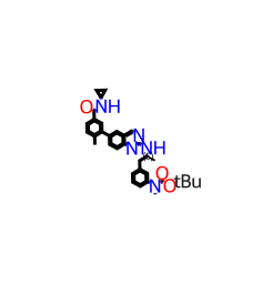 Cc1ccc(C(=O)NC2CC2)cc1-c1ccc2nc(N[C@@H](C)Cc3cccc(N(C)C(=O)OC(C)(C)C)c3)ncc2c1